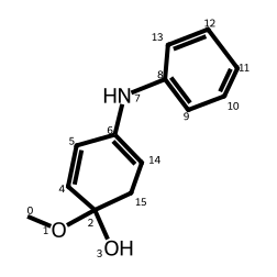 COC1(O)C=CC(Nc2ccccc2)=CC1